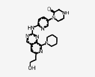 O=C1CNCCN1c1ccc(Nc2ncc3cc(CCO)nc(N4CCCCC4)c3n2)nc1